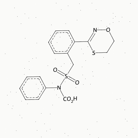 O=C(O)N(c1ccccc1)S(=O)(=O)Cc1ccccc1C1=NOCCS1